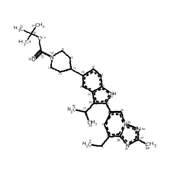 CCc1cc(-c2[nH]c3ccc(C4CCN(C(=O)OC(C)(C)C)CC4)cc3c2C(C)C)cn2nc(C)nc12